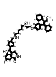 CC/C(=C(\c1ccccc1)c1ccc(OCCN(C)CCCCCNCc2ccc(-c3[nH]c4cc(F)cc5c4c3CCNC5=O)cc2)cc1)c1ccccc1